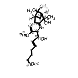 CCCCCCCCCCCCCC=C[C@@H](O)[C@H](N=C1C[C@@H]2C[C@@H](C2(C)C)[C@]1(C)O)C(=O)OC(C)C